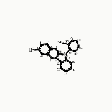 Brc1ccc2cc3c(cc2c1)c1ccccc1n3-c1ccccc1I